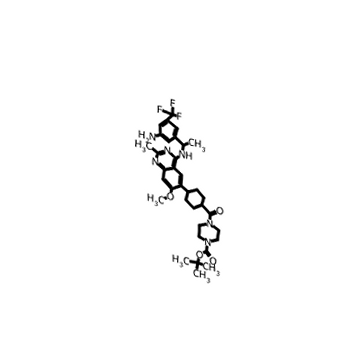 COc1cc2nc(C)nc(NC(C)c3cc(N)cc(C(F)(F)F)c3)c2cc1C1CCC(C(=O)N2CCN(C(=O)OC(C)(C)C)CC2)CC1